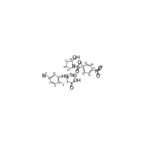 O=C(O)[C@H](Cc1ccc(Br)cc1)NC(=O)[C@@H]1CCC(O)N1S(=O)(=O)c1ccc([N+](=O)[O-])cc1